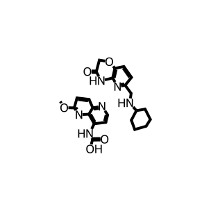 COc1ccc2nccc(NC(=O)O)c2n1.O=C1COc2ccc(CNC3CCCCC3)nc2N1